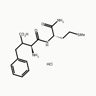 CSCC[C@H](NC(=O)[C@@H](N)C(Cc1ccccc1)C(=O)O)C(N)=O.Cl